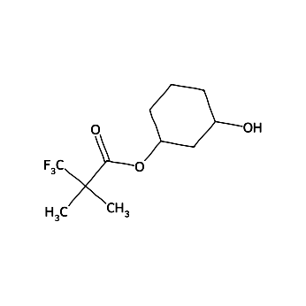 CC(C)(C(=O)OC1CCCC(O)C1)C(F)(F)F